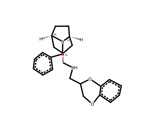 c1ccc(CN2[C@@H]3CC[C@H]2C[C@H](CNCC2COc4ccccc4O2)C3)cc1